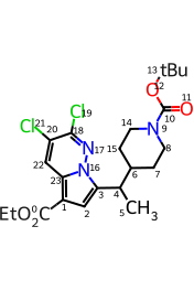 CCOC(=O)c1cc(C(C)C2CCN(C(=O)OC(C)(C)C)CC2)n2nc(Cl)c(Cl)cc12